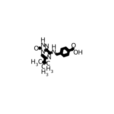 CC(C)(C)c1cn2c(=O)[nH]nc2c(NCc2ccc(C(=O)O)cc2)n1